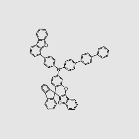 c1ccc(-c2ccc(-c3ccc(N(c4ccc(-c5cccc6c5oc5ccccc56)cc4)c4ccc5c(c4)Oc4c(oc6ccccc46)C54c5ccccc5-c5ccccc54)cc3)cc2)cc1